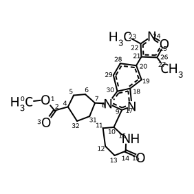 COC(=O)C1CCC(n2c(C3CCCC(=O)N3)nc3cc(-c4c(C)noc4C)ccc32)CC1